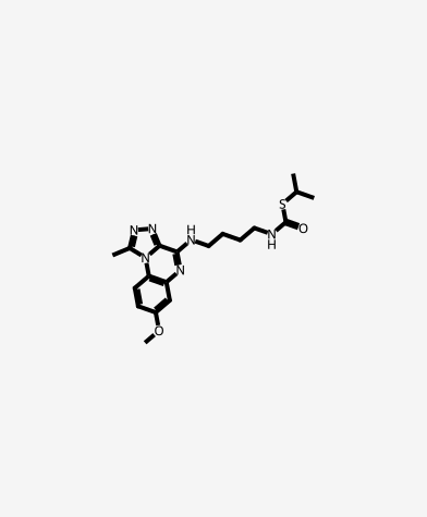 COc1ccc2c(c1)nc(NCCCCNC(=O)SC(C)C)c1nnc(C)n12